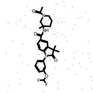 CC(=O)N1CCCC(C)(NC(=O)c2ccc3c(c2)C(C)(C)C(=O)N3c2cccc(OC(F)F)c2)C1